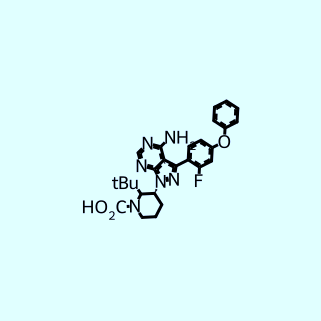 CC(C)(C)C1[C@H](n2nc(-c3ccc(Oc4ccccc4)cc3F)c3c(N)ncnc32)CCCN1C(=O)O